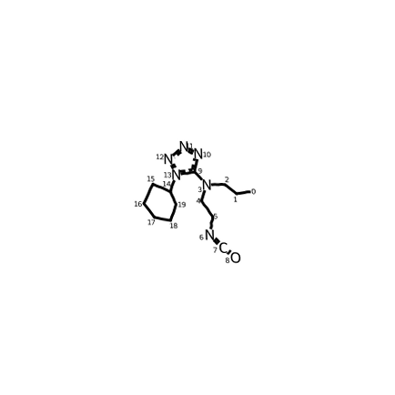 CCCN(CCN=C=O)c1nnnn1C1CCCCC1